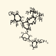 [2H]C([2H])([2H])c1nc2nc(C3CCOC(c4ccnc(C)c4)C3)nc(-c3ccc(Cl)c(F)c3F)c2nc1C([2H])([2H])[2H]